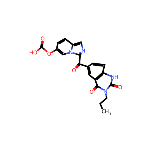 CCCn1c(=O)[nH]c2ccc(C(=O)c3ncc4ccc(OC(=O)O)cn34)cc2c1=O